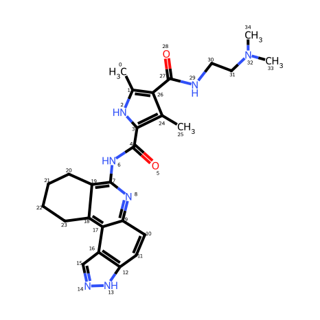 Cc1[nH]c(C(=O)Nc2nc3ccc4[nH]ncc4c3c3c2CCCC3)c(C)c1C(=O)NCCN(C)C